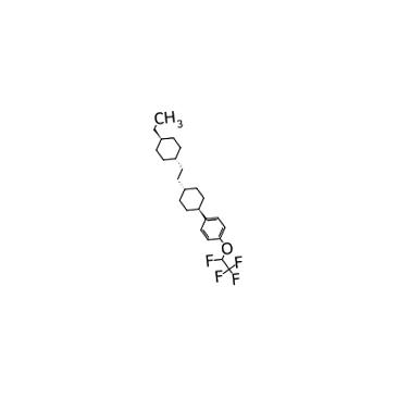 CC[C@H]1CC[C@H](CC[C@H]2CC[C@H](c3ccc(OC(F)C(F)(F)F)cc3)CC2)CC1